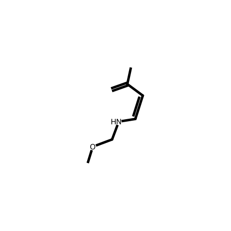 C=C(C)/C=C\NCOC